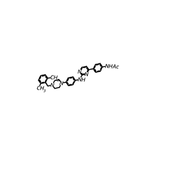 CC(=O)Nc1ccc(-c2ccnc(Nc3ccc(N4CCN(Cc5c(C)cccc5C)CC4)cc3)n2)cc1